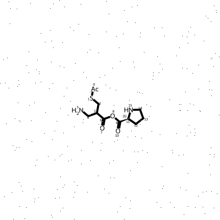 CC(=O)SCC(CN)C(=O)OC(=O)[C@@H]1CCCN1